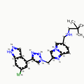 CC(C)(C)CNCc1ccc2nc(Cn3cc(-c4cc(Br)cc5[nH]ncc45)nn3)cn2c1